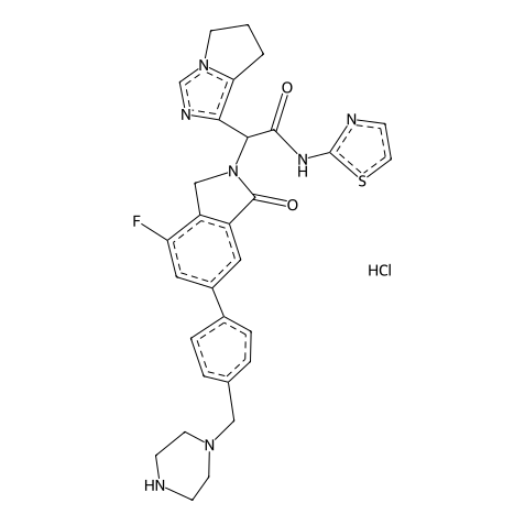 Cl.O=C(Nc1nccs1)C(c1ncn2c1CCC2)N1Cc2c(F)cc(-c3ccc(CN4CCNCC4)cc3)cc2C1=O